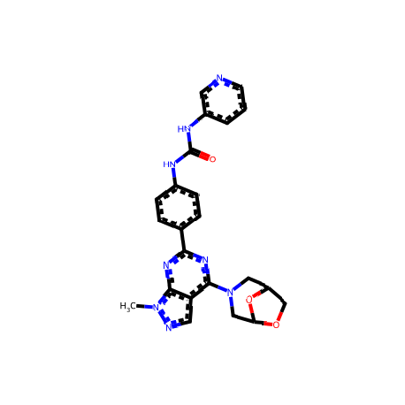 Cn1ncc2c(N3CC4COC(C3)O4)nc(-c3ccc(NC(=O)Nc4cccnc4)cc3)nc21